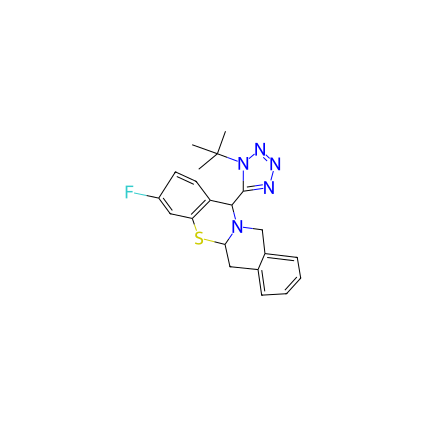 CC(C)(C)n1nnnc1C1c2ccc(F)cc2SC2Cc3ccccc3CN21